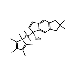 CCC(C)[C]1([Hf]([CH3])([CH3])[C]2(C)C(C)=C(C)C(C)=C2C)C=Cc2cc3c(cc21)CC(C)(C)C3